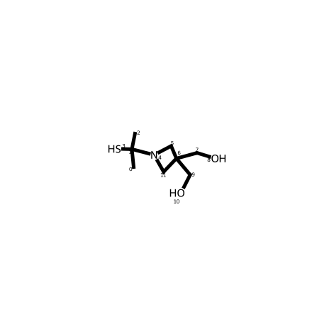 CC(C)(S)N1CC(CO)(CO)C1